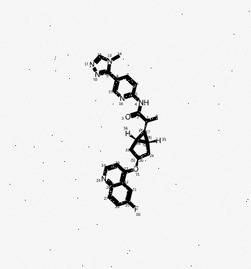 CC(C(=O)Nc1ccc(-c2nncn2C)cn1)[C@H]1[C@@H]2C[C@@H](Oc3ccnc4ccc(F)cc34)C[C@@H]21